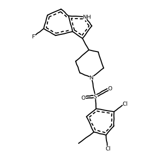 Cc1cc(S(=O)(=O)N2CCC(c3c[nH]c4ccc(F)cc34)CC2)c(Cl)cc1Cl